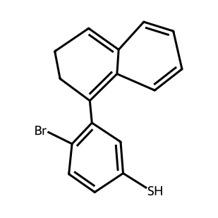 Sc1ccc(Br)c(C2=c3ccccc3=CCC2)c1